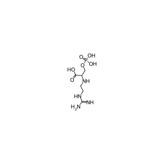 N=C(N)NCCNC(COP(=O)(O)O)C(=O)O